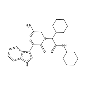 NC(=O)CN(C(=O)C(=O)c1c[nH]c2ccccc12)C(C(=O)NC1CCCCC1)C1CCCCC1